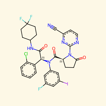 N#Cc1ccnc(N2C(=O)CC[C@H]2C(=O)N(c2cc(F)cc(I)c2)[C@H](C(=O)NC2CCC(F)(F)CC2)c2ccccc2Cl)n1